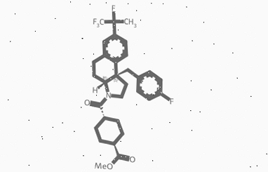 COC(=O)[C@H]1CC[C@H](C(=O)N2CC[C@@]3(Cc4ccc(F)cc4)c4ccc(C(C)(F)C(F)(F)F)cc4CC[C@@H]23)CC1